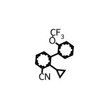 N#Cc1cccc(-c2ccccc2OC(F)(F)F)c1C1CC1